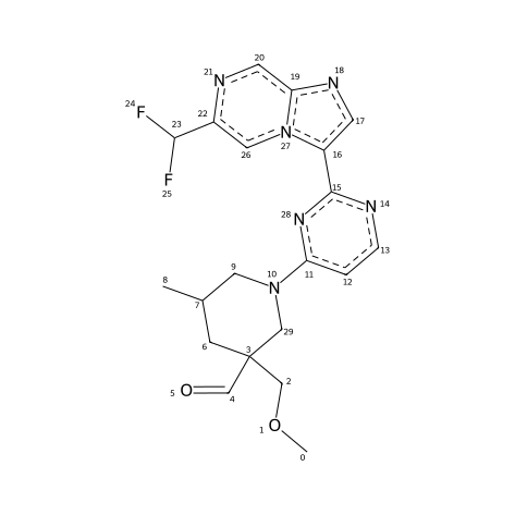 COCC1(C=O)CC(C)CN(c2ccnc(-c3cnc4cnc(C(F)F)cn34)n2)C1